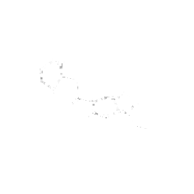 O=C(Oc1ccccc1)c1ccc2c(c1)nnn2CO